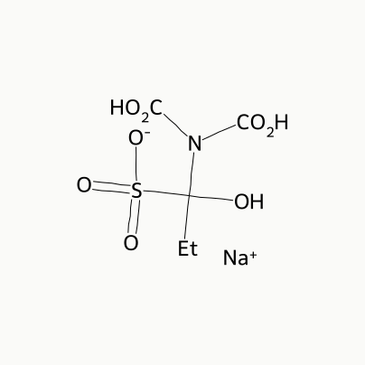 CCC(O)(N(C(=O)O)C(=O)O)S(=O)(=O)[O-].[Na+]